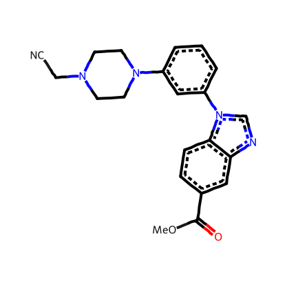 COC(=O)c1ccc2c(c1)ncn2-c1cccc(N2CCN(CC#N)CC2)c1